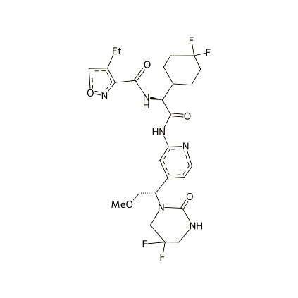 CCc1conc1C(=O)N[C@H](C(=O)Nc1cc([C@@H](COC)N2CC(F)(F)CNC2=O)ccn1)C1CCC(F)(F)CC1